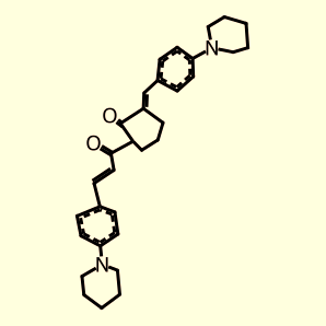 O=C(C=Cc1ccc(N2CCCCC2)cc1)C1CCCC(=Cc2ccc(N3CCCCC3)cc2)C1=O